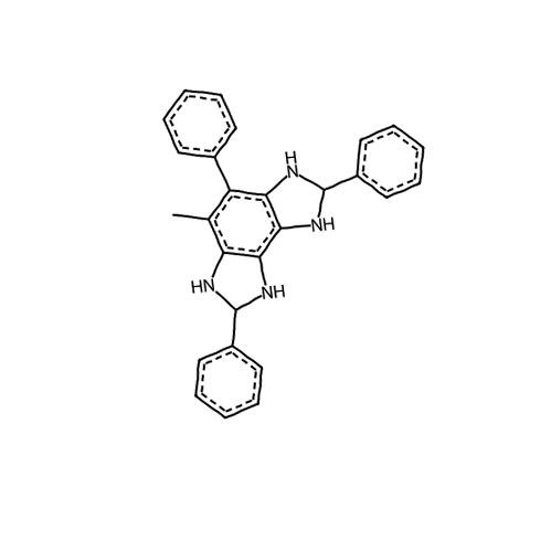 Cc1c2c(c3c(c1-c1ccccc1)NC(c1ccccc1)N3)NC(c1ccccc1)N2